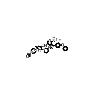 CC(C)(/C=C(/C#N)C(=O)N1CCC[C@@H](n2nc(-c3ccc(Oc4ccccc4)c(F)c3)c3c(N)nccc32)C1)N1CCN(C2COC2)CC1